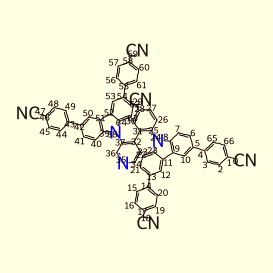 N#Cc1ccc(-c2ccc3c(c2)c2cc(-c4ccc(C#N)cc4)ccc2n3-c2ccc(C#N)cc2-c2ccncc2-n2c3ccc(-c4ccc(C#N)cc4)cc3c3cc(-c4ccc(C#N)cc4)ccc32)cc1